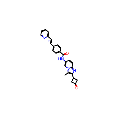 Cc1c(C2CC(=O)C2)nc2ccc(NC(=O)c3ccc(/C=C/c4ccccn4)cc3)cn12